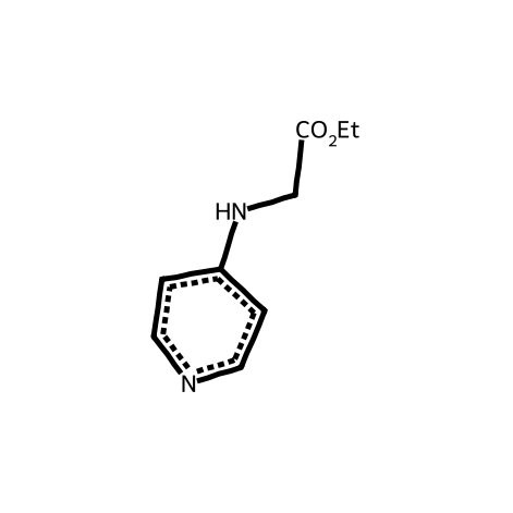 CCOC(=O)CNc1ccncc1